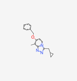 Cc1c(OCc2ccccc2)ccn2c(CC3CC3)nnc12